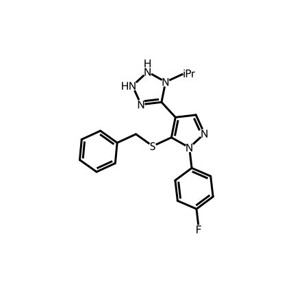 CC(C)N1NNN=C1c1cnn(-c2ccc(F)cc2)c1SCc1ccccc1